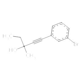 CCC(C)(O)C#Cc1cccc(Br)c1